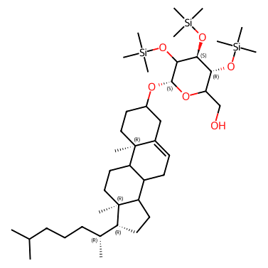 CC(C)CCC[C@@H](C)[C@H]1CCC2C3CC=C4CC(O[C@H]5OC(CO)[C@@H](O[Si](C)(C)C)[C@H](O[Si](C)(C)C)C5O[Si](C)(C)C)CC[C@]4(C)C3CC[C@@]21C